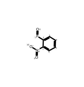 O=Pc1ccccc1[N+](=O)[O-]